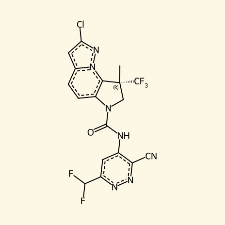 C[C@@]1(C(F)(F)F)CN(C(=O)Nc2cc(C(F)F)nnc2C#N)c2ccc3cc(Cl)nn3c21